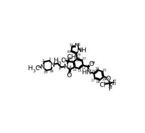 CN1CCN(CCN2C(=O)c3cc(C(=O)Nc4ccc(OC(F)(F)Cl)cc4)cc(-c4ccn[nH]4)c3C2(C)C)CC1